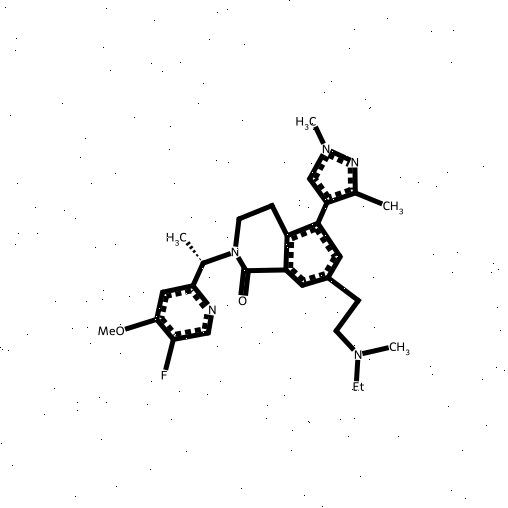 CCN(C)CCc1cc2c(c(-c3cn(C)nc3C)c1)CCN([C@@H](C)c1cc(OC)c(F)cn1)C2=O